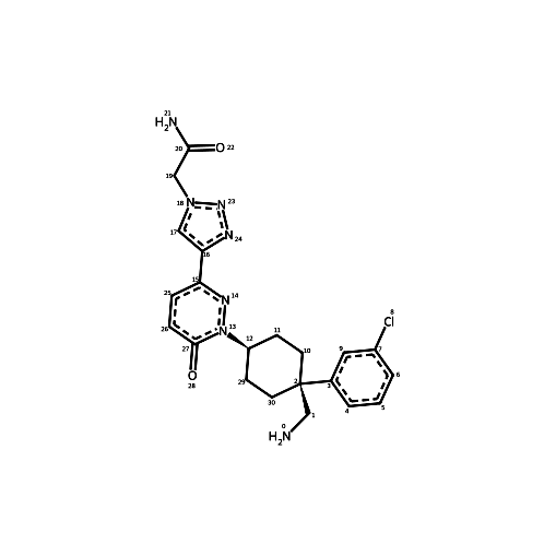 NC[C@]1(c2cccc(Cl)c2)CC[C@H](n2nc(-c3cn(CC(N)=O)nn3)ccc2=O)CC1